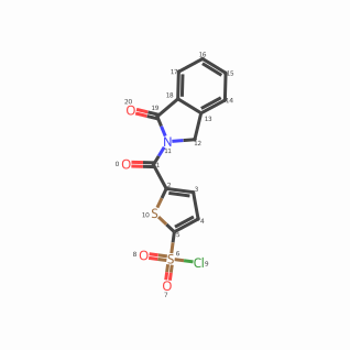 O=C(c1ccc(S(=O)(=O)Cl)s1)N1Cc2ccccc2C1=O